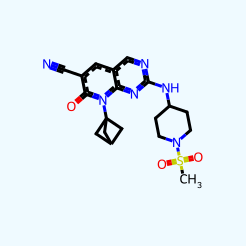 CS(=O)(=O)N1CCC(Nc2ncc3cc(C#N)c(=O)n(C45CC(C4)C5)c3n2)CC1